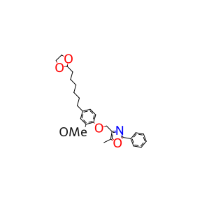 COc1cc(CCCCCCC2OCCO2)ccc1OCc1nc(-c2ccccc2)oc1C